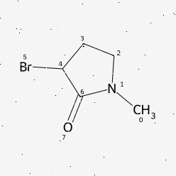 CN1C[CH]C(Br)C1=O